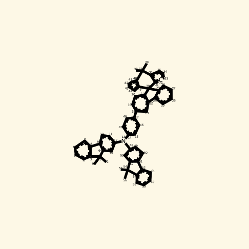 CC1(C)c2ccccc2-c2ccc(N(c3ccc(-c4ccc5c(c4)-c4ccccc4C54c5ccccc5C(C)(C)c5ccccc54)cc3)c3ccc4c(c3)C(C)(C)c3ccccc3-4)cc21